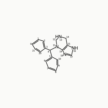 c1ccc(C(c2ccccc2)N2CNCc3[nH]cnc32)cc1